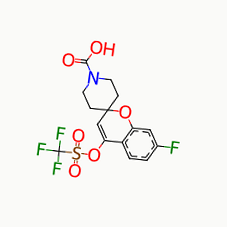 O=C(O)N1CCC2(C=C(OS(=O)(=O)C(F)(F)F)c3ccc(F)cc3O2)CC1